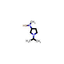 CC(C)N1CCC(N(C)S)C1